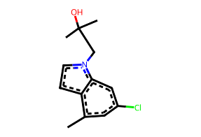 Cc1cc(Cl)cc2c1ccn2CC(C)(C)O